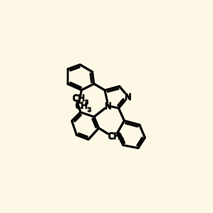 Cc1ccccc1-c1cnc(-c2ccccc2)n1-c1c(C)cccc1C